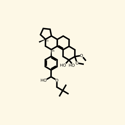 COC1(OC)CC2CCC3C(=C2CC1(O)O)[C@@H](c1ccc(C(O)OCC(C)(C)C)cc1)C[C@]1(C)CCCC31